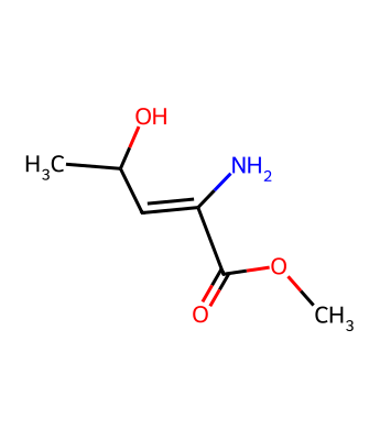 COC(=O)/C(N)=C/C(C)O